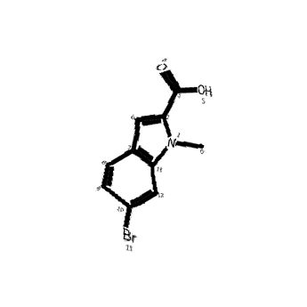 Cn1c(C(=O)O)cc2ccc(Br)cc21